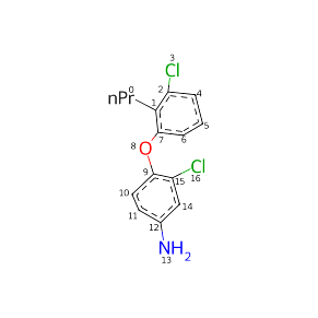 CCCc1c(Cl)cccc1Oc1ccc(N)cc1Cl